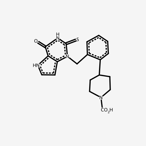 O=C(O)N1CCC(c2ccccc2Cn2c(=S)[nH]c(=O)c3[nH]ccc32)CC1